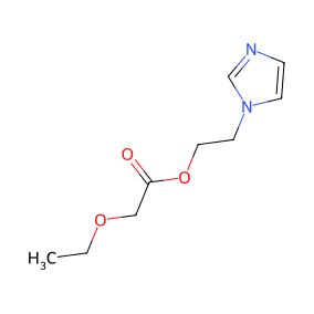 CCOCC(=O)OCCn1ccnc1